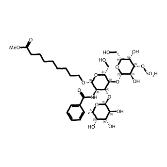 COC(=O)CCCCCCCCO[C@@H]1O[C@H](CO)[C@@H](O[C@@H]2O[C@H](CO)[C@H](O)[C@H](OS(=O)(=O)O)[C@H]2O)[C@H](O[C@@H]2O[C@@H](C)[C@@H](O)[C@@H](O)[C@@H]2O)[C@H]1NC(=O)c1ccccc1